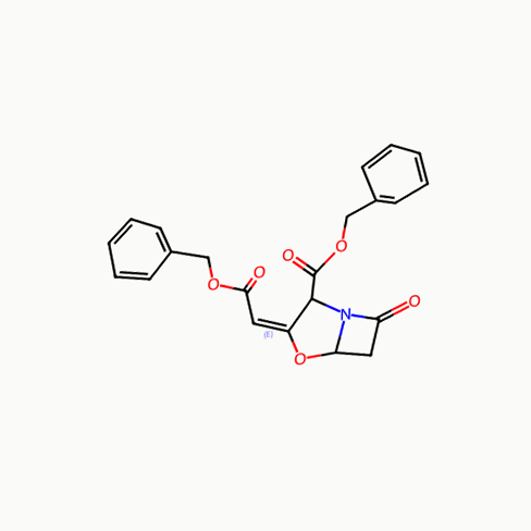 O=C(/C=C1/OC2CC(=O)N2C1C(=O)OCc1ccccc1)OCc1ccccc1